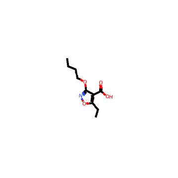 CCCCOc1noc(CC)c1C(=O)O